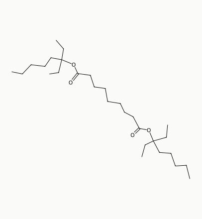 CCCCCC(CC)(CC)OC(=O)CCCCCCCC(=O)OC(CC)(CC)CCCCC